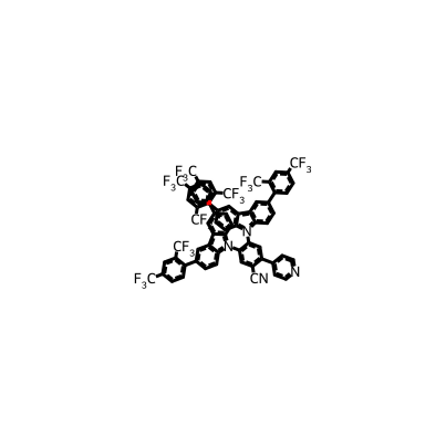 N#Cc1cc(-n2c3ccc(-c4ccc(C(F)(F)F)cc4C(F)(F)F)cc3c3cc(-c4ccc(C(F)(F)F)cc4C(F)(F)F)ccc32)c(-n2c3ccc(-c4ccc(C(F)(F)F)cc4C(F)(F)F)cc3c3cc(-c4ccc(C(F)(F)F)cc4C(F)(F)F)ccc32)cc1-c1ccncc1